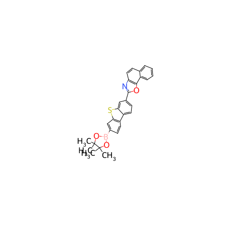 CC1(C)OB(c2ccc3c(c2)sc2cc(-c4nc5ccc6ccccc6c5o4)ccc23)OC1(C)C